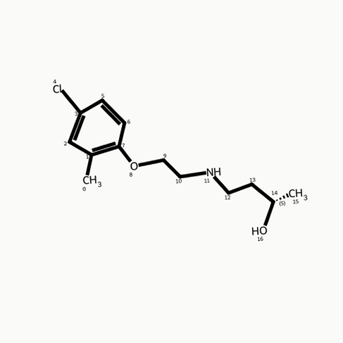 Cc1cc(Cl)ccc1OCCNCC[C@H](C)O